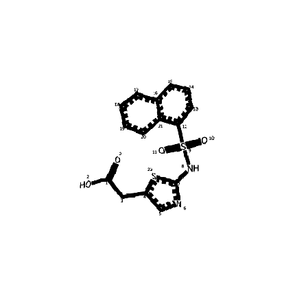 O=C(O)Cc1cnc(NS(=O)(=O)c2cccc3ccccc23)s1